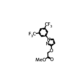 COC(=O)COc1ccn(-c2cc(C(F)(F)F)cc(C(F)(F)F)c2)n1